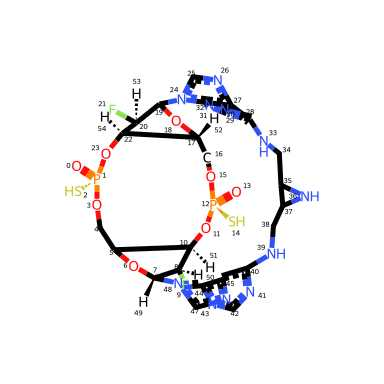 O=[P@]1(S)OCC2O[C@@H]3[C@H](F)[C@@H]2O[P@](=O)(S)OC[C@H]2OC([C@H](F)[C@@H]2O1)n1cnc2c(ncnc21)NCC1NC1CNc1ncnc2c1ncn23